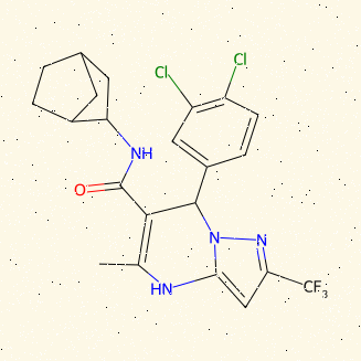 CC1=C(C(=O)NC2CC3CCC2C3)C(c2ccc(Cl)c(Cl)c2)n2nc(C(F)(F)F)cc2N1